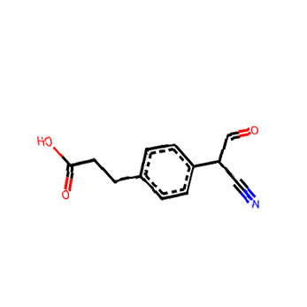 N#CC(C=O)c1ccc(CCC(=O)O)cc1